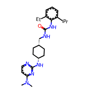 CCc1cccc(C(C)C)c1NC(=O)NC[C@H]1CC[C@@H](Nc2nccc(N(C)C)n2)CC1